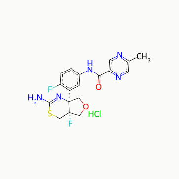 Cc1cnc(C(=O)Nc2ccc(F)c([C@]34COC[C@@]3(F)CSC(N)=N4)c2)cn1.Cl